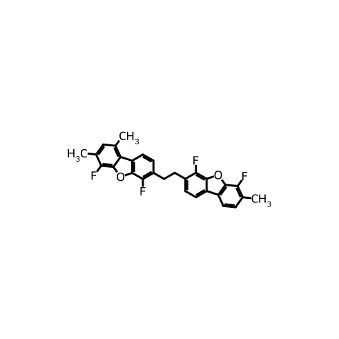 Cc1ccc2c(oc3c(F)c(CCc4ccc5c(oc6c(F)c(C)cc(C)c65)c4F)ccc32)c1F